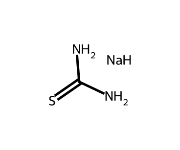 NC(N)=S.[NaH]